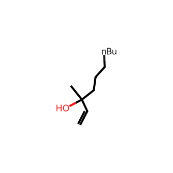 C=CC(C)(O)CCCCCCC